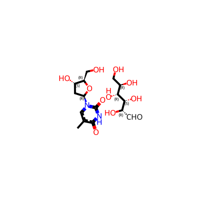 Cc1cn([C@H]2C[C@H](O)[C@@H](CO)O2)c(=O)[nH]c1=O.O=C[C@H](O)[C@@H](O)[C@H](O)[C@H](O)CO